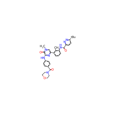 Cc1c(NC(=O)c2ccc(C(C)(C)C)nn2)cccc1-c1cn(C)c(=O)c(Nc2ccc(C(=O)N3CCOCC3)cc2)n1